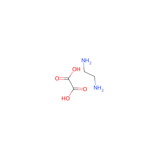 NCCN.O=C(O)C(=O)O